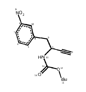 C#CC(Cc1cccc([N+](=O)[O-])c1)NC(=O)OC(C)(C)C